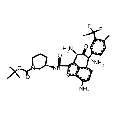 Cc1ccc([C@]2(N)C(=O)[C@H](N)c3c(C(=O)N[C@@H]4CCCN(C(=O)OC(C)(C)C)C4)sc4c(N)ccc2c34)cc1C(F)(F)F